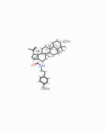 C=C(C)[C@@H]1CC[C@]2(C(=O)NCCc3ccc(OC)cc3)CC[C@]3(C)[C@H](CC[C@@H]4[C@@]5(C)CC[C@H](OC(C)=O)C(C)(C)[C@@H]5CC[C@]43C)[C@@H]12